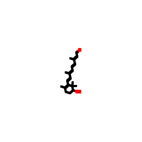 CC1=C(/C=C/C(C)=C/C=C/C(C)=C/C=O)C(C)(C)C(O)CC1